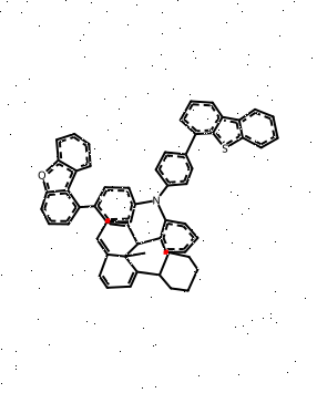 CC12C(=CC=CC1c1ccccc1N(c1ccc(-c3cccc4c3sc3ccccc34)cc1)c1ccc(-c3cccc4oc5ccccc5c34)cc1)C=CC=C2C1CCCCC1